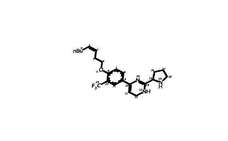 CCCC/C=C\CCOc1ccc(C2=CCNC(C3CCCN3)=N2)cc1C(F)(F)F